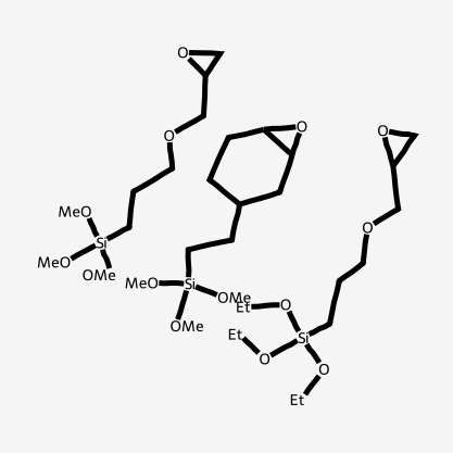 CCO[Si](CCCOCC1CO1)(OCC)OCC.CO[Si](CCC1CCC2OC2C1)(OC)OC.CO[Si](CCCOCC1CO1)(OC)OC